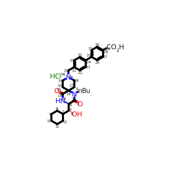 CCCCN1C(=O)[C@@H]([C@H](O)C2CCCCC2)NC(=O)C12CCN(Cc1ccc(-c3ccc(C(=O)O)cc3)cc1)CC2.Cl